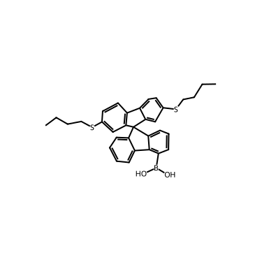 CCCCSc1ccc2c(c1)C1(c3cc(SCCCC)ccc3-2)c2ccccc2-c2c(B(O)O)cccc21